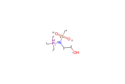 C[PH](C)(C)N(CCO)S(C)(=O)=O